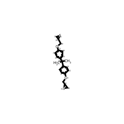 CC(C)(c1ccc(OCC2CS2)cc1)c1ccc(OCC2CS2)cc1